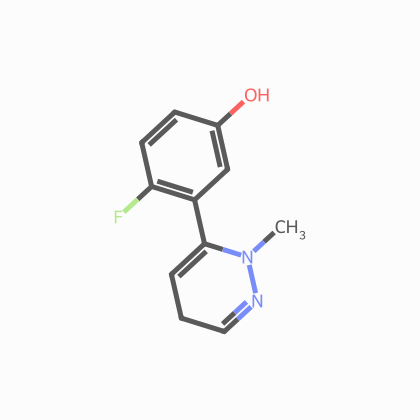 CN1N=CCC=C1c1cc(O)ccc1F